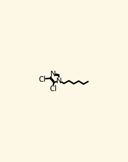 CCCCCCn1cnc(Cl)c1Cl